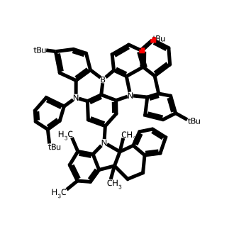 Cc1cc(C)c2c(c1)C1(C)CCc3ccccc3C1(C)N2c1cc2c3c(c1)N(c1ccc(C(C)(C)C)cc1-c1ccccc1)c1cc(C(C)(C)C)ccc1B3c1ccc(C(C)(C)C)cc1N2c1cccc(C(C)(C)C)c1